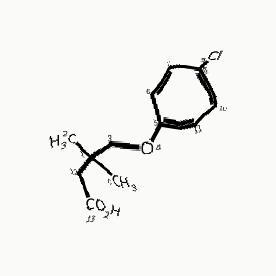 CC(C)(COc1ccc(Cl)cc1)CC(=O)O